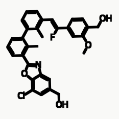 COc1cc(C(F)=Cc2cccc(-c3cccc(-c4nc5cc(CO)cc(Cl)c5o4)c3C)c2C)ccc1CO